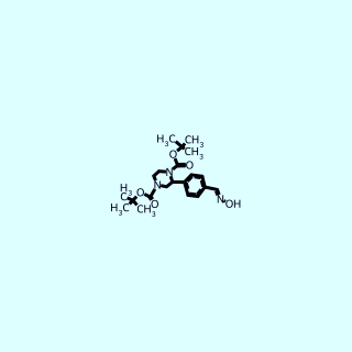 CC(C)(C)OC(=O)N1CCN(C(=O)OC(C)(C)C)C(c2ccc(/C=N/O)cc2)C1